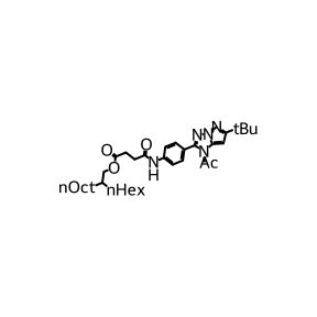 CCCCCCCCC(CCCCCC)COC(=O)CCC(=O)Nc1ccc(-c2nn3nc(C(C)(C)C)cc3n2C(C)=O)cc1